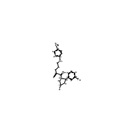 C=C(CCCOc1ccc(C#N)cn1)C(=O)N1CC(F)CC1c1cccc(F)c1